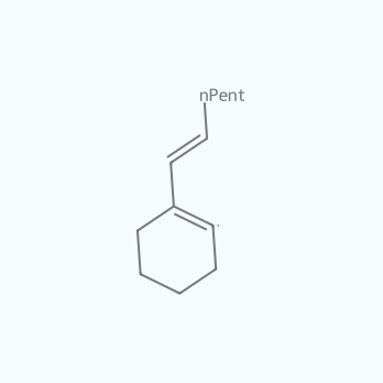 CCCCCC=CC1=[C]CCCC1